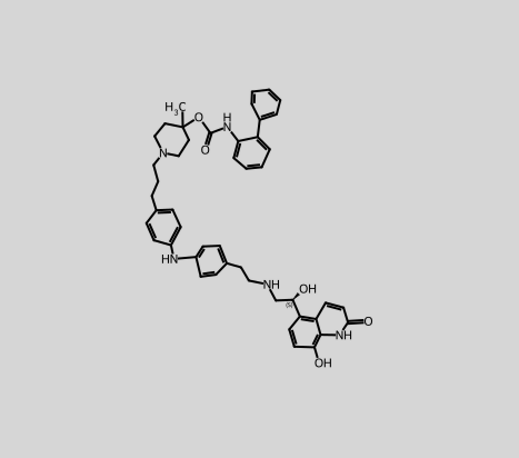 CC1(OC(=O)Nc2ccccc2-c2ccccc2)CCN(CCCc2ccc(Nc3ccc(CCNC[C@@H](O)c4ccc(O)c5[nH]c(=O)ccc45)cc3)cc2)CC1